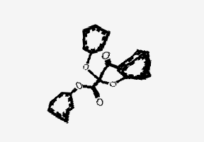 O=C(Oc1ccccc1)C(Oc1ccccc1)(Oc1ccccc1)C(=O)c1ccccc1